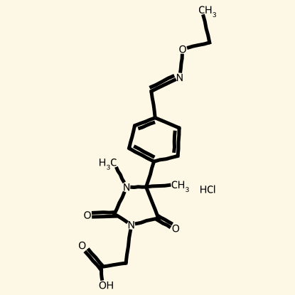 CCON=Cc1ccc(C2(C)C(=O)N(CC(=O)O)C(=O)N2C)cc1.Cl